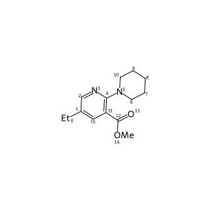 CCc1cnc(N2CCCCC2)c(C(=O)OC)c1